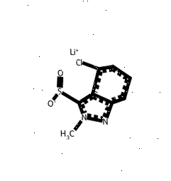 Cn1nc2cccc(Cl)c2c1S(=O)[O-].[Li+]